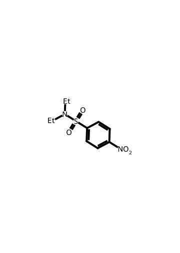 CCN(CC)S(=O)(=O)c1ccc([N+](=O)[O-])cc1